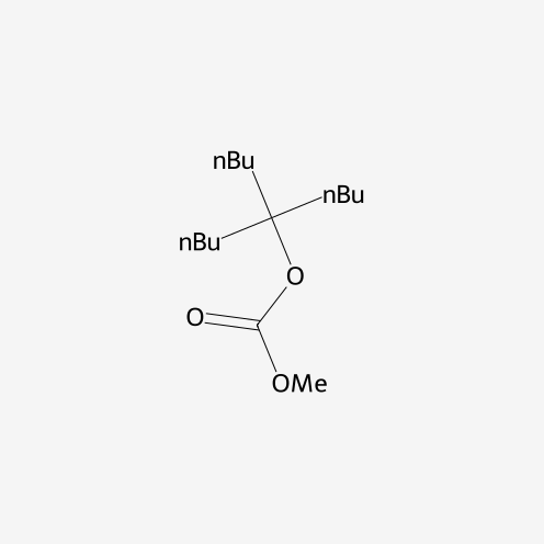 CCCCC(CCCC)(CCCC)OC(=O)OC